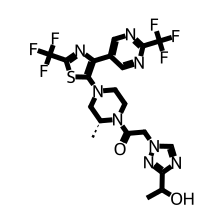 CC(O)c1ncn(CC(=O)N2CCN(c3sc(C(F)(F)F)nc3-c3cnc(C(F)(F)F)nc3)C[C@H]2C)n1